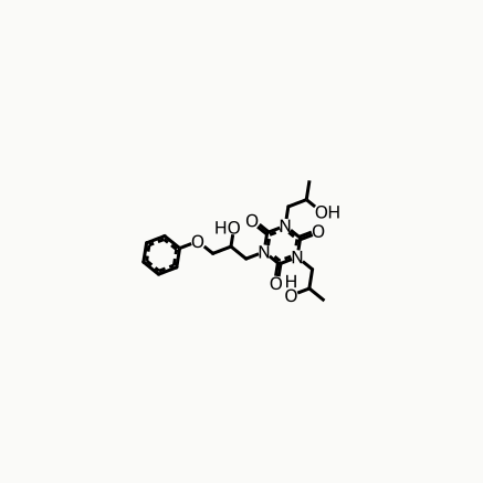 CC(O)Cn1c(=O)n(CC(C)O)c(=O)n(CC(O)COc2ccccc2)c1=O